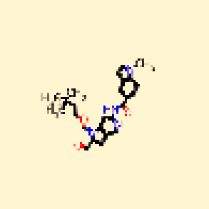 Cn1ccc2cc(C(=O)Nc3cc4c(cn3)cc(C=O)n4COCC[Si](C)(C)C)ccc21